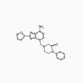 Nc1ncc(CN2CCN(c3ccccc3)C(=O)C2)c2nc(-c3ccco3)nn12